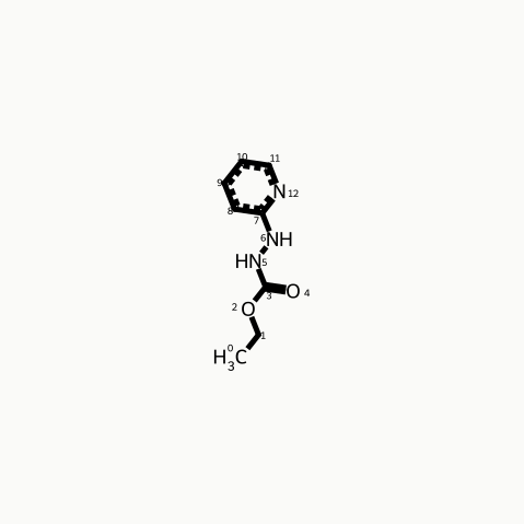 CCOC(=O)NNc1ccccn1